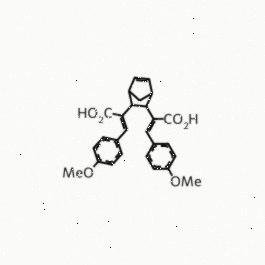 COc1ccc(C=C(C(=O)O)C2C3C=CC(C3)C2C(=Cc2ccc(OC)cc2)C(=O)O)cc1